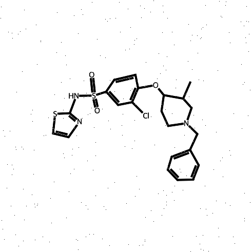 CC1CN(Cc2ccccc2)CCC1Oc1ccc(S(=O)(=O)Nc2nccs2)cc1Cl